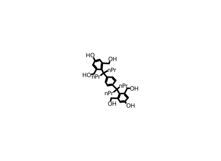 CCCC(CCC)(c1ccc(C(CCC)(CCC)c2c(CO)cc(O)cc2CO)cc1)c1c(CO)cc(O)cc1CO